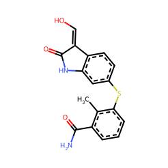 Cc1c(Sc2ccc3c(c2)NC(=O)C3=CO)cccc1C(N)=O